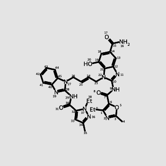 CCc1nc(C)oc1C(=O)Nc1nc2cc(C(N)=O)cc(O)c2n1C/C=C/Cn1c(NC(=O)c2cc(C)nn2CC)nc2ccccc21